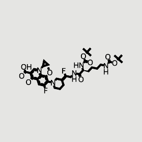 COc1c(N2CCCC(=C(F)CNC(=O)[C@H](CCCCNC(=O)OC(C)(C)C)NC(=O)OC(C)(C)C)C2)c(F)cc2c(=O)c(C(=O)O)cn(C3CC3)c12